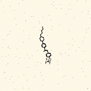 CCCCCC1CCC(c2ccc(C(C)=Cc3ccc(OC(F)(F)F)cc3)cc2)CC1